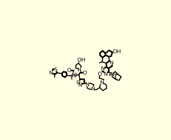 Cc1ncsc1-c1ccc([C@H](C)NC(=O)[C@@H]2C[C@@H](O)CN2C(=O)[C@@H](c2cc(N3CCN(CC4CCCN(CCOc5nc(N6CC7CCC(C6)N7)c6cnc7c(c6n5)C(C)c5cccc6cc(O)cc-7c56)C4)CC3)no2)C(C)C)cc1